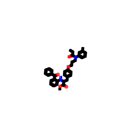 CCC(=O)N(CCCOc1ccc(CC(Nc2ccccc2C(=O)c2ccccc2)C(=O)OC)cc1)c1cccc(C)c1